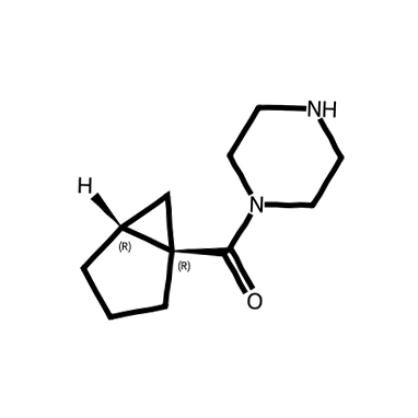 O=C(N1CCNCC1)[C@@]12CCC[C@@H]1C2